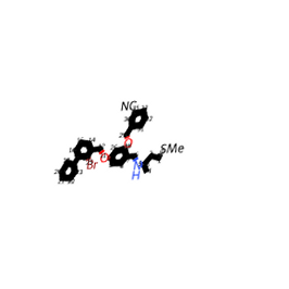 CSCCC(C)NCc1ccc(OCc2cccc(-c3ccccc3)c2Br)cc1OCc1cccc(C#N)c1